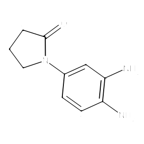 Nc1ccc(N2CCCC2=O)cc1N